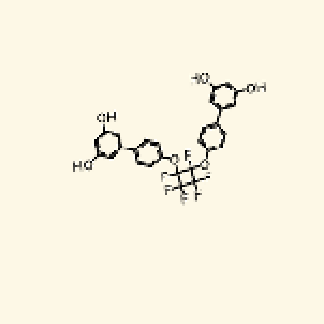 Oc1cc(O)cc(-c2ccc(OC3(F)C(F)(F)C(F)(F)C3(F)Oc3ccc(-c4cc(O)cc(O)c4)cc3)cc2)c1